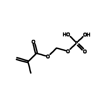 C=C(C)C(=O)OCOP(=O)(O)O